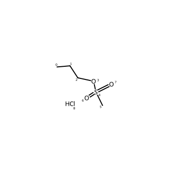 CCCOS(C)(=O)=O.Cl